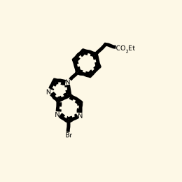 CCOC(=O)Cc1ccc(-n2cnc3nc(Br)ncc32)cc1